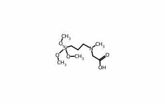 CO[Si](CCCN(C)CC(=O)O)(OC)OC